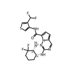 N[C@@H]1[C@H](Nc2ncc3ccc(C(=O)Nc4cscc4C(F)F)n3n2)CCCC1(F)F